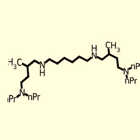 CCCN(CCC)CCC(C)CNCCCCCCNCC(C)CCN(CCC)CCC